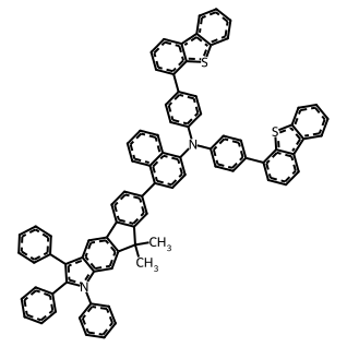 CC1(C)c2cc(-c3ccc(N(c4ccc(-c5cccc6c5sc5ccccc56)cc4)c4ccc(-c5cccc6c5sc5ccccc56)cc4)c4ccccc34)ccc2-c2cc3c(-c4ccccc4)c(-c4ccccc4)n(-c4ccccc4)c3cc21